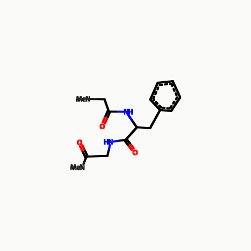 CNCC(=O)NC(Cc1ccccc1)C(=O)NCC(=O)NC